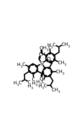 C=C[Si](c1cc(C)c(CC(C)C)c(C)c1C=O)(c1cc(C)c(CC(C)C)c(C)c1C=O)c1cc(C)c(CC(C)C)c(C)c1C=O